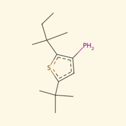 CCC(C)(C)c1sc(C(C)(C)C)cc1P